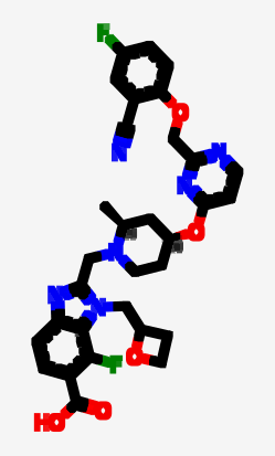 C[C@H]1C[C@@H](Oc2ccnc(COc3ccc(F)cc3C#N)n2)CCN1Cc1nc2ccc(C(=O)O)c(F)c2n1CC1CCO1